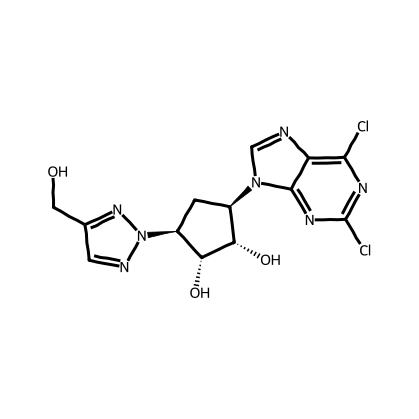 OCc1cnn([C@H]2C[C@@H](n3cnc4c(Cl)nc(Cl)nc43)[C@H](O)[C@@H]2O)n1